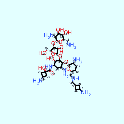 NC[C@@H]1O[C@H](O[C@H]2[C@@H](O)[C@H](O[C@@H]3[C@@H](O)[C@H](NC(=O)C4(O)CC(N)C4)C[C@H](N)[C@H]3O[C@H]3O[C@H](CNCC4CC(N)C4)CC[C@H]3N)O[C@@H]2CO)[C@H](N)[C@@H](O)[C@@H]1O